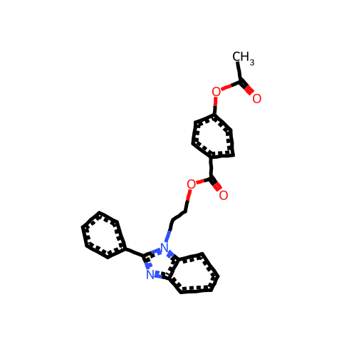 CC(=O)Oc1ccc(C(=O)OCCn2c(-c3ccccc3)nc3ccccc32)cc1